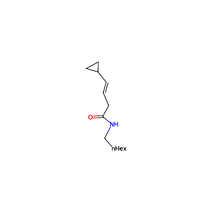 CCCCCCCNC(=O)CC=CC1CC1